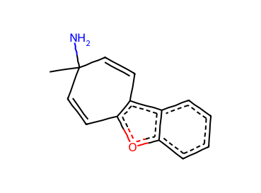 CC1(N)C=Cc2oc3ccccc3c2C=C1